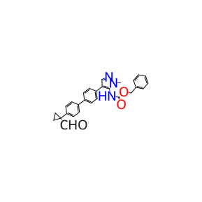 Cn1ncc(-c2ccc(-c3ccc(C4(C=O)CC4)cc3)cc2)c1NC(=O)OCc1ccccc1